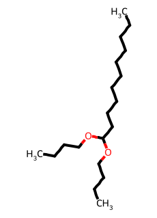 CCCCCCCCCCC(OCCCC)OCCCC